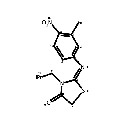 Cc1cc(N=C2SCC(=O)N2CC(C)C)ccc1[N+](=O)[O-]